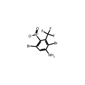 Nc1cc(Br)c([N+](=O)[O-])c(C(F)(F)F)c1Br